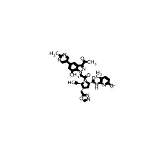 C#C[C@@H]1[C@@H](Cc2nnco2)C[C@@H](C(=O)Nc2nc(Br)ccc2C)N1C(=O)Cn1nc(C(C)=O)c2cc(-c3cnc(C)nc3)cc(C)c21